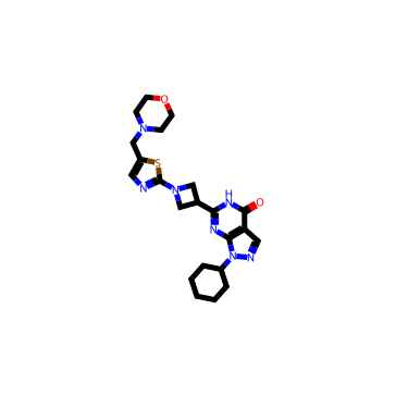 O=c1[nH]c(C2CN(c3ncc(CN4CCOCC4)s3)C2)nc2c1cnn2C1CCCCC1